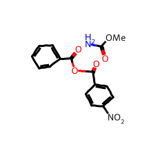 COC(N)=O.O=C(OC(=O)c1ccc([N+](=O)[O-])cc1)c1ccccc1